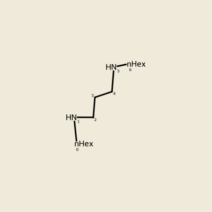 [CH2]CCCCCNCCCNCCCCCC